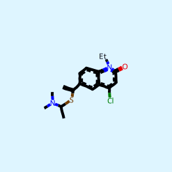 C=C(SC(C)N(C)C)c1ccc2c(c1)c(Cl)cc(=O)n2CC